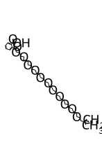 C=C(C)CCOCCOCCOCCOCCOCCOCCOCCOCCOCCOCCOC(=O)c1ccccc1C(=O)O